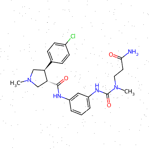 CN1C[C@@H](C(=O)Nc2cccc(NC(=O)N(C)CCC(N)=O)c2)[C@H](c2ccc(Cl)cc2)C1